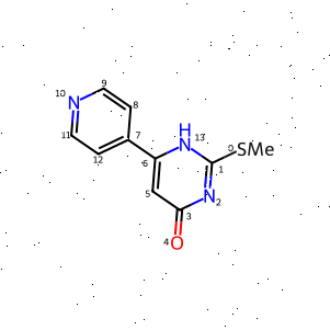 CSc1nc(=O)cc(-c2ccncc2)[nH]1